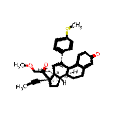 CC#C[C@]1(C(=O)COC)CC[C@H]2[C@@H]3CCC4=CC(=O)CCC4=C3[C@@H](c3ccc(SC)cc3)C[C@@]21C